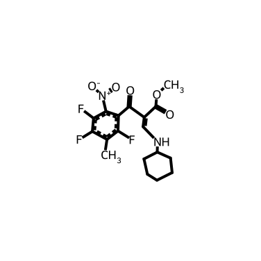 COC(=O)C(=CNC1CCCCC1)C(=O)c1c(F)c(C)c(F)c(F)c1[N+](=O)[O-]